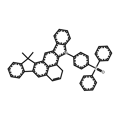 CC1(C)c2ccccc2-c2cc3c4c(c5c(cc4c21)c1ccccc1n5-c1ccc(P(=O)(c2ccccc2)c2ccccc2)cc1)CC=C3